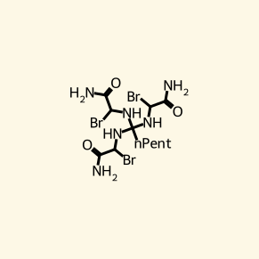 CCCCCC(NC(Br)C(N)=O)(NC(Br)C(N)=O)NC(Br)C(N)=O